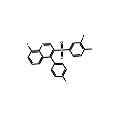 Cc1ccc(S(=O)(=O)c2cnc3c(F)cccc3c2-c2ccc(Cl)cc2)cc1F